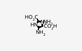 NC(=O)O.Nc1cnc(C(=O)O)[nH]1